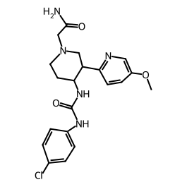 COc1ccc(C2CN(CC(N)=O)CCC2NC(=O)Nc2ccc(Cl)cc2)nc1